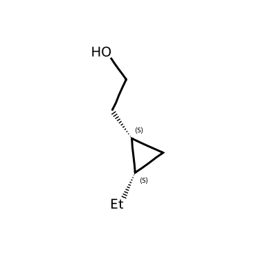 CC[C@H]1C[C@H]1CCO